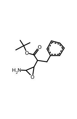 CC(C)(C)OC(=O)C(Cc1ccccc1)C1OC1N